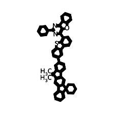 CC1(C)c2cc(-c3ccc4sc5c(-c6nc(-c7ccccc7)nc7c6oc6ccccc67)cccc5c4c3)ccc2-c2cc3c(cc21)-c1ccccc1C31CCCCC1